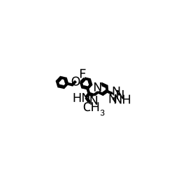 Cc1nc(-c2cc(-c3nn[nH]n3)ccn2)c(-c2ccc(F)c(OCc3ccccc3)c2)[nH]1